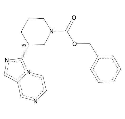 O=C(OCc1ccccc1)N1CCC[C@@H](c2ncc3cnccn23)C1